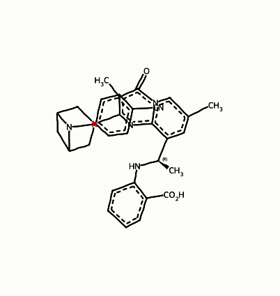 Cc1cc([C@@H](C)Nc2ccccc2C(=O)O)c2nc(N3CC4CC(C3)N4c3ccc(C#N)cc3)c(C)c(=O)n2c1